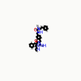 CCCCC1(CC2CCCCC2)NC(=N)N(Cc2ccc(CNC(=O)N(C)CCc3ccccc3)cc2)C1=O